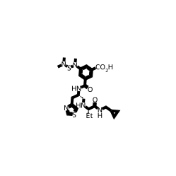 CC[C@H](NC[C@H](Cc1cscn1)NC(=O)c1cc(C(=O)O)cc(N(C)SN(C)C)c1)C(=O)NCC1CC1